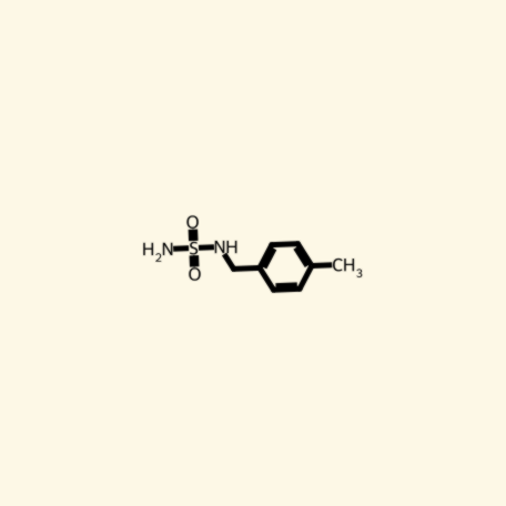 Cc1ccc(CNS(N)(=O)=O)cc1